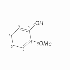 COC1=C[CH]CC=C1O